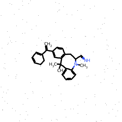 C=C(C1=CC=CCC1)c1ccc2c(c1)C(C)(C)c1ccccc1N(C)C(C=N)C2